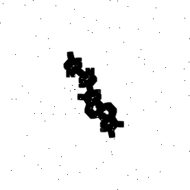 Cc1cnc(-c2ncc(-c3sc4c(ccc5c4ccc4c(C)c(C)sc45)c3C)s2)s1